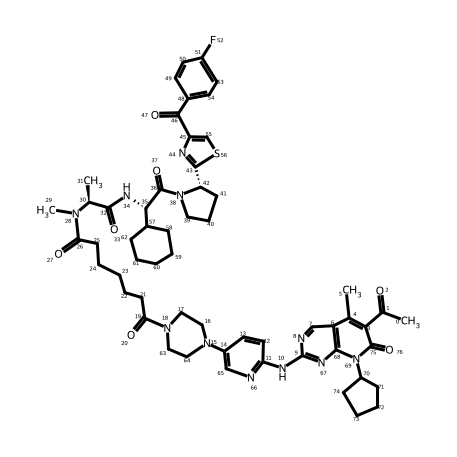 CC(=O)c1c(C)c2cnc(Nc3ccc(N4CCN(C(=O)CCCCCC(=O)N(C)[C@@H](C)C(=O)N[C@H](C(=O)N5CCC[C@H]5c5nc(C(=O)c6ccc(F)cc6)cs5)C5CCCCC5)CC4)cn3)nc2n(C2CCCC2)c1=O